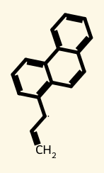 C=C[CH]c1cccc2c1ccc1ccccc12